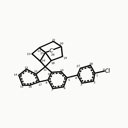 Clc1ccc(-c2ccc3c(c2)C2(c4ccccc4-3)C3CC4CC5CC2C53C4)cc1